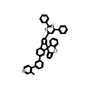 Cc1cnccc1-c1cccc(-c2ccc3c(c2)C2(c4ccccc4Oc4ccccc42)c2cc(-c4cc(-c5ccccc5)nc(-c5ccccc5)n4)ccc2-3)c1